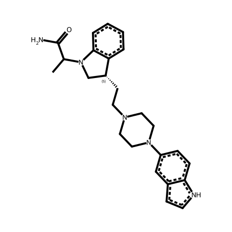 CC(C(N)=O)N1C[C@@H](CCN2CCN(c3ccc4[nH]ccc4c3)CC2)c2ccccc21